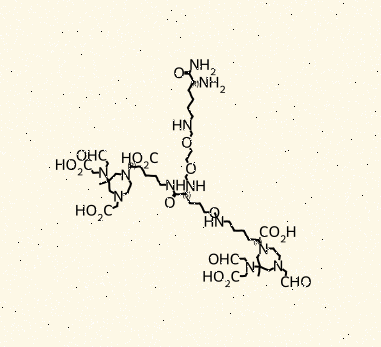 CC1(N(CC=O)CC(=O)O)CN(CC=O)CCN([C@H](CCCCNOCCC[C@H](NCOCCOCNCCCC[C@@H](N)C(N)=O)C(=O)NCCCC[C@H](C(=O)O)N2CCN(CC(=O)O)CC(C)(N(CC=O)CC(=O)O)C2)C(=O)O)C1